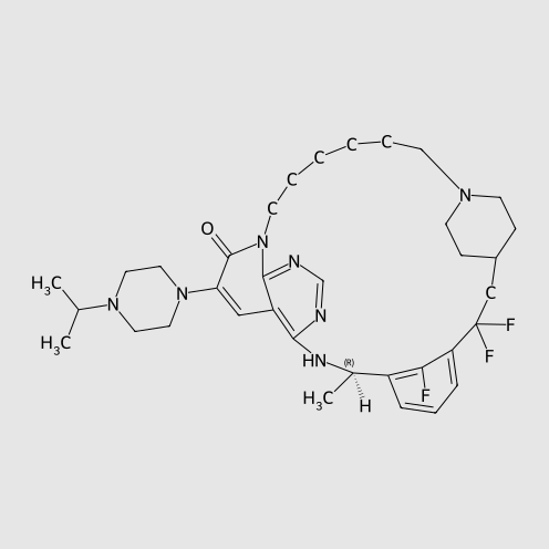 CC(C)N1CCN(c2cc3c4ncnc3n(c2=O)CCCCCCN2CCC(CC2)CC(F)(F)c2cccc(c2F)[C@@H](C)N4)CC1